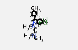 Cc1ccc(-c2cn(N(C)CCCN(C)C)c3ccc(Cl)cc23)cc1.Cl